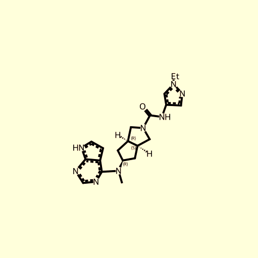 CCn1cc(NC(=O)N2C[C@H]3C[C@@H](N(C)c4ncnc5[nH]ccc45)C[C@H]3C2)cn1